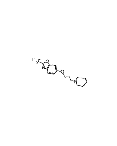 Cc1nc2ccc(OCCCN3CCCCC3)cc2o1